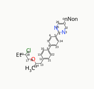 CCCCCCCCCc1cnc(-c2ccc(-c3ccc(CC(C)OCC(Cl)CC)cc3)cc2)nc1